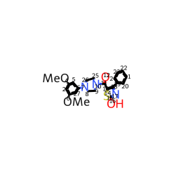 COc1cc(OC)cc(N2CCN(C(=O)c3sc(O)nc3-c3ccccc3)CC2)c1